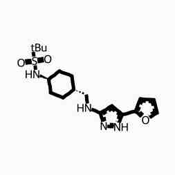 CC(C)(C)S(=O)(=O)N[C@H]1CC[C@H](CNc2cc(-c3ccco3)[nH]n2)CC1